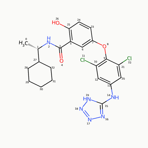 C[C@H](NC(=O)c1cc(Oc2c(Cl)cc(Nc3nnn[nH]3)cc2Cl)ccc1O)C1CCCCC1